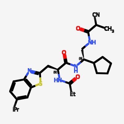 CCC(=O)N[C@@H](Cc1nc2ccc(C(C)C)cc2s1)C(=O)N[C@H](CNC(=O)C(C)C#N)C1CCCC1